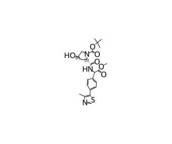 COC(=O)C(NC(=O)[C@@H]1C[C@@H](O)CN1C(=O)OC(C)(C)C)c1ccc(-c2scnc2C)cc1